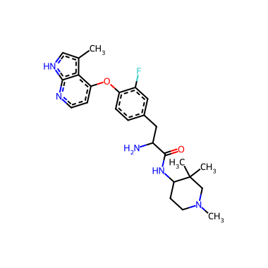 Cc1c[nH]c2nccc(Oc3ccc(CC(N)C(=O)NC4CCN(C)CC4(C)C)cc3F)c12